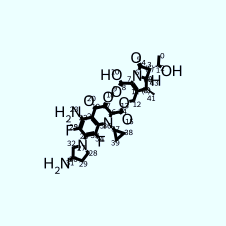 CC(O)[C@H]1C(=O)N2C(C(=O)O)=C(COC(=O)C3C(=O)C(=O)c4c(N)c(F)c(N5CCC(N)C5)c(F)c4N3C3CC3)[C@H](C)[C@H]12